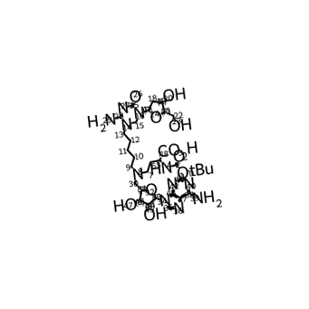 CC(C)(C)OC(=O)NC(CCN(CCCCCN1CN([C@H]2C[C@H](O)[C@@H](CO)O2)C(=O)N=C1N)C[C@H]1O[C@@H](n2cnc3c(N)ncnc32)[C@H](O)[C@@H]1O)C(=O)O